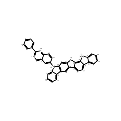 c1ccc(-c2ncc3cc(-n4c5ccccc5c5cc6c(cc54)sc4c6ccc5c6ccccc6[nH]c54)ccc3n2)cc1